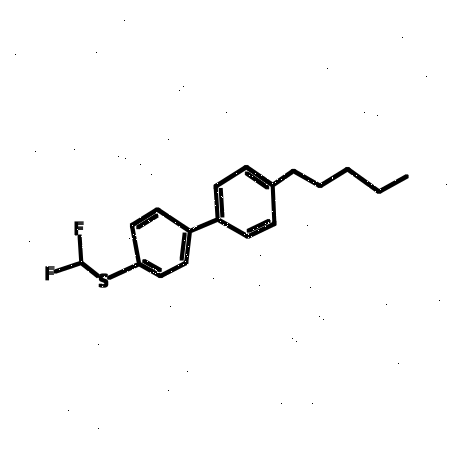 CCCCCc1ccc(-c2ccc(SC(F)F)cc2)cc1